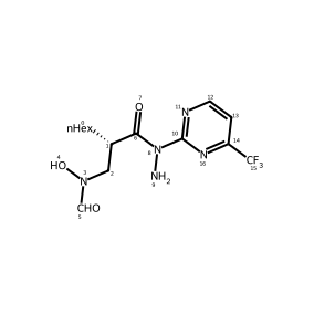 CCCCCC[C@@H](CN(O)C=O)C(=O)N(N)c1nccc(C(F)(F)F)n1